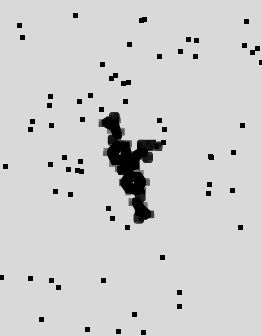 COC(=O)CCC(C)(c1ccc(OCC2CO2)cc1)c1ccc(OCC2CO2)cc1